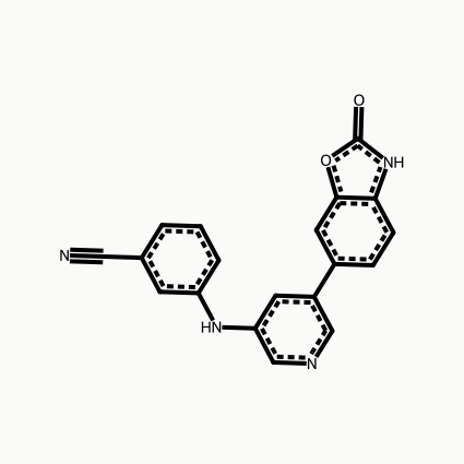 N#Cc1cccc(Nc2cncc(-c3ccc4[nH]c(=O)oc4c3)c2)c1